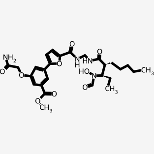 CCCCC[C@@H](C(=O)NCNC(=O)c1ccc(-c2cc(OCC(N)=O)cc(C(=O)OC)c2)o1)[C@@H](CC)N(O)C=O